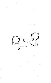 C=C(C[S+]([O-])n1cnc2ccccc21)c1ccccn1